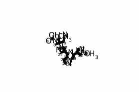 C[C@H]1N(C(=O)O)CC1(CC#N)n1cc(-c2nc(-c3cnn(C)c3)cn3nccc23)cn1